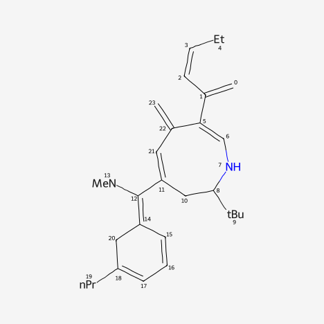 C=C(/C=C\CC)/C1=C/NC(C(C)(C)C)CC(/C(NC)=C2\C=CC=C(CCC)C2)=C\C1=C